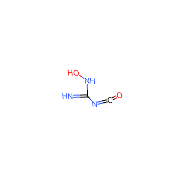 N=C(N=C=O)NO